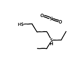 CC[SH](CC)CCCS.O=[Si]=O